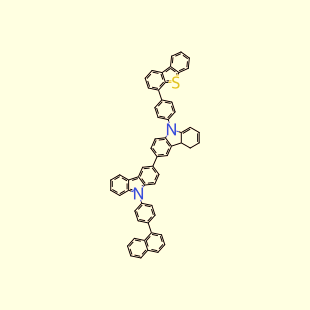 C1=CCC2C(=C1)N(c1ccc(-c3cccc4c3sc3ccccc34)cc1)c1ccc(-c3ccc4c(c3)c3ccccc3n4-c3ccc(-c4cccc5ccccc45)cc3)cc12